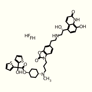 CN(CCCn1c(=O)oc2cc(CCNC[C@H](O)c3ccc(O)c4[nH]c(=O)ccc34)ccc21)[C@H]1CC[C@H](OC(=O)C(O)(c2cccs2)c2cccs2)CC1.F.F